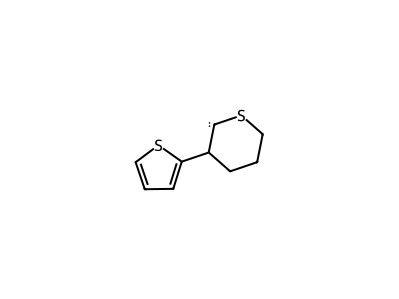 [C]1SCCCC1c1cccs1